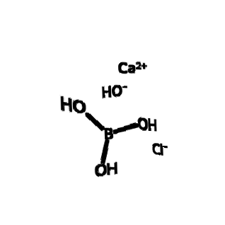 OB(O)O.[Ca+2].[Cl-].[OH-]